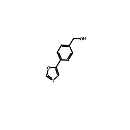 OCc1ccc(-c2cnco2)cc1